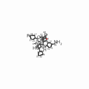 CNC(=O)[C@](CC[C@H](O[Si](C)(C)C(C)(C)C)c1ccc(F)cc1)([C@H](C)[C@H](O)c1ccccc1)[C@@H](Nc1ccc(CN)cc1)c1ccc(OC)cc1